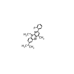 CCN(c1nc(C)cc(-c2ccccc2F)n1)c1ccc(C(C)C)cc1Br